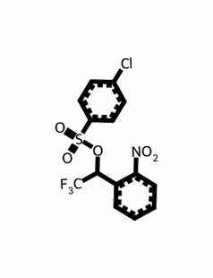 O=[N+]([O-])c1ccccc1C(OS(=O)(=O)c1ccc(Cl)cc1)C(F)(F)F